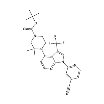 CC(C)(C)OC(=O)N1CCN(c2ncnc3c2c(C(F)(F)F)cn3-c2cc(C#N)ccn2)C(C)(C)C1